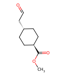 COC(=O)[C@H]1CC[C@H](CC=O)CC1